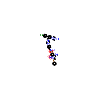 CN(C)CC[C@H](CSc1ccccc1)Nc1ccc(S(=O)(=O)NC(=O)c2ccc(N3CCN(Cc4cc(N5CCNCC5)ccc4-c4ccc(Cl)cc4)CC3)cc2)cc1[N+](=O)[O-]